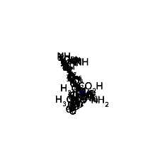 CC1(C)[C@H](NC(=O)/C(=N\O[C@](C)(C(=O)O)[C@H]2CCc3cc(-c4cn(C[C@@H](O)CN)[n+](C[C@@H]5CCNC5)c4)ccc3O2)c2csc(N)n2)C(=O)N1OS(=O)(=O)[O-]